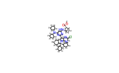 COC(=O)C1C2CCC(CC2)C1Nc1cc(N(c2ccccc2)c2ccccc2)nc(-c2cn(C(c3ccccc3)(c3ccccc3)c3ccccc3)c3ncc(Cl)nc23)n1